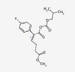 COC(=O)CC/C=C(\C(=O)OC(=O)OCC(C)C)c1ccc(F)cc1